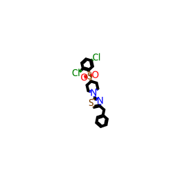 O=S(=O)(c1cc(Cl)ccc1Cl)C1CCN(c2nc(Cc3ccccc3)cs2)CC1